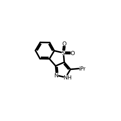 CC(C)c1[nH]nc2c1S(=O)(=O)c1ccccc1-2